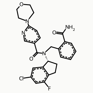 NC(=O)c1ccccc1CN(C(=O)c1ccc(N2CCOCC2)nc1)[C@@H]1CCc2c(F)cc(Cl)cc21